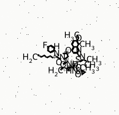 C=CCCCCC[C@H](Nc1ccc(F)cc1)C(=O)N1C[C@H](Oc2cc(-c3nc(C(C)C)cs3)nc3c(C)c(OC)ccc23)C[C@H]1C(=O)N[C@]1(C(=O)NS(=O)(=O)C2(C)CC2)C[C@H]1C=C